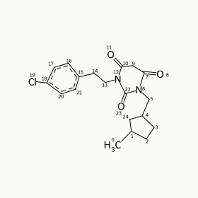 CC1CCC(CN2C(=O)CC(=O)N(CCc3ccc(Cl)cc3)C2=O)C1